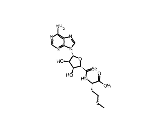 CSCC[C@H](NC(=[Se])[C@H]1O[C@@H](n2cnc3c(N)ncnc32)[C@H](O)[C@@H]1O)C(=O)O